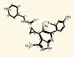 Cc1n[nH]c2nc(-c3ccc(O)cc3F)c(C#N)c(C3C[C@@H]3C(=O)NCC3CCNCC3)c12